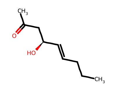 CCC/C=C/[C@@H](O)CC(C)=O